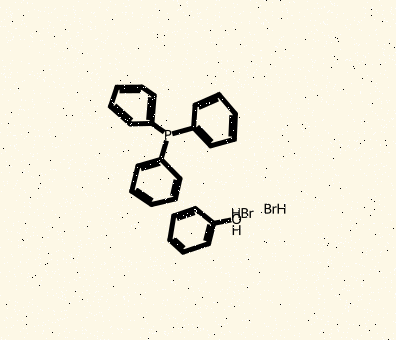 Br.Br.Oc1ccccc1.c1ccc(P(c2ccccc2)c2ccccc2)cc1